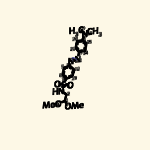 COC(CNS(=O)(=O)c1ccc(/N=N/c2ccc(N(C)C)cc2)cc1)OC